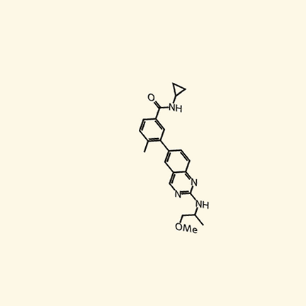 COCC(C)Nc1ncc2cc(-c3cc(C(=O)NC4CC4)ccc3C)ccc2n1